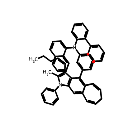 CCC/C=C\c1c(C)n(-c2ccccc2)c2cc3c(c(-c4cccc(N(c5ccccc5-c5ccccc5)c5cccc6ccccc56)c4)c12)C=CCC=C3